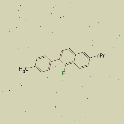 CCCc1ccc2c(F)c(-c3ccc(C)cc3)ccc2c1